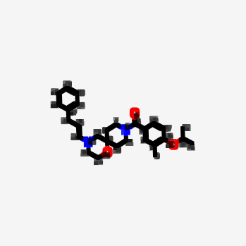 Cc1cc(C(=O)N2CCC3(CC2)CN(C=CCc2ccccc2)CCO3)ccc1OC(C)C